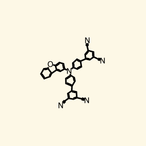 N#Cc1cc(C#N)cc(-c2ccc(N(c3ccc(-c4cc(C#N)cc(C#N)c4)cc3)c3ccc4oc5ccccc5c4c3)cc2)c1